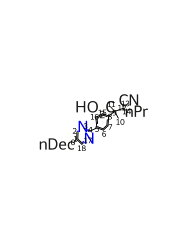 CCCCCCCCCCc1cnc(-c2ccc(C(C)(C(=O)O)C(C#N)CCC)cc2)nc1